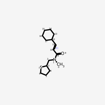 CN(CC1CCCS1)C(=O)/C=C/C1CCCCC1